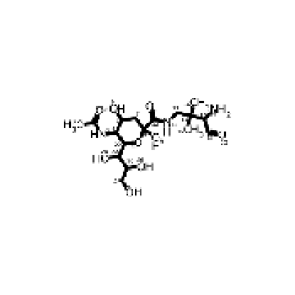 CC(=O)NC1C(O)CC(O)(C(=O)NCC(C)(C)C(N)C=O)OC1C(O)C(O)CO